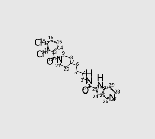 O=C(NCCCCC1CCN(C(=O)c2cccc(Cl)c2Cl)CC1)c1cc2cnccc2[nH]1